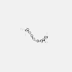 COc1nc(N2CCN(CC3CCN(c4ccc(C5CCN(c6ccc(C)c7c(C#N)c[nH]c67)CC5)cc4)CC3)CC2)cc2c1C(=O)N(C1CCC(=O)NC1=O)C2